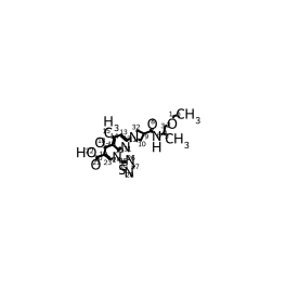 CCOCC(C)NC(=O)C1CN(c2cc(C)c3c(=O)c(C(=O)O)cn(-c4ncns4)c3n2)C1